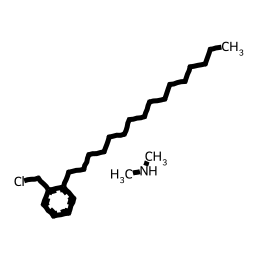 CCCCCCCCCCCCCCCCc1ccccc1CCl.CNC